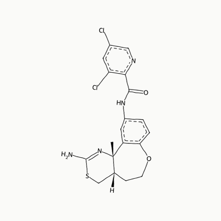 C[C@]12N=C(N)SC[C@H]1CCOc1ccc(NC(=O)c3ncc(Cl)cc3Cl)cc12